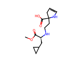 COC(=O)[C@H](CC1CC1)NCCC1(C(=O)O)CC=CN1